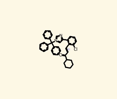 O=C(/C=C/c1c(Cl)cccc1-c1cn(C(c2ccccc2)(c2ccccc2)c2ccccc2)cn1)C1CCCCC1